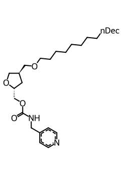 CCCCCCCCCCCCCCCCCCOC[C@@H]1CO[C@@H](COC(=O)NCc2ccncc2)C1